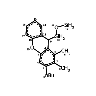 CCCCc1cc2c(c(C)c1C)C([SiH2]O[SiH3])c1ccccc1O2